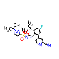 CC(C)c1cc(F)cc(-c2ccnc(C#N)c2)c1CC(=O)NS(=O)(=O)c1ccn(C(C)C)n1